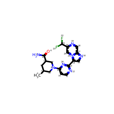 CC1CC(C(N)=O)CN(c2ccnc(-c3cnc4cnc(C(F)F)cn34)n2)C1